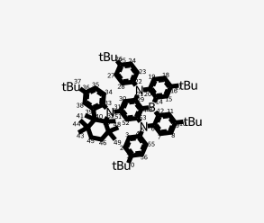 CC(C)(C)c1ccc(N2c3ccc(C(C)(C)C)cc3B3c4cc(C(C)(C)C)ccc4N(c4ccc(C(C)(C)C)cc4)c4cc(N5c6ccc(C(C)(C)C)cc6C6(C)C(C)(C)CCC(C)(C)C56C)cc2c43)cc1